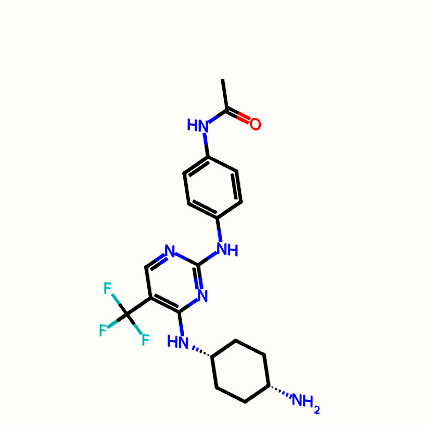 CC(=O)Nc1ccc(Nc2ncc(C(F)(F)F)c(N[C@H]3CC[C@@H](N)CC3)n2)cc1